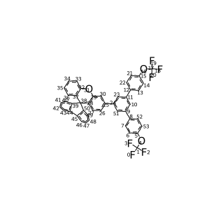 FC(F)(F)Oc1ccc(-c2cc(-c3ccc(OC(F)(F)F)cc3)cc(-c3ccc4c(c3)Oc3ccccc3C43c4ccccc4-c4ccccc43)c2)cc1